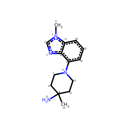 Cn1cnc2c(N3CCC(C)(N)CC3)cccc21